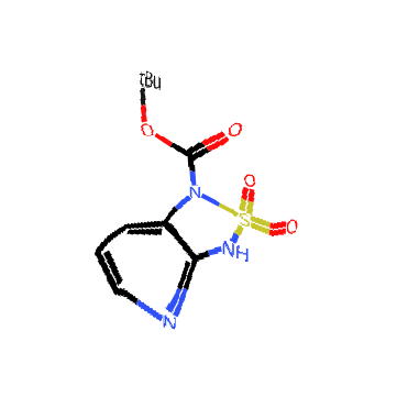 CC(C)(C)OC(=O)N1c2cccnc2NS1(=O)=O